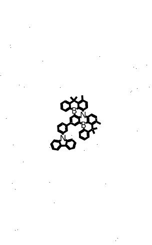 Cc1ccc2c3c1C(C)(C)c1ccccc1B3c1cc(-c3cccc(-n4c5ccccc5c5ccccc54)c3)cc3c1N2c1ccc(C)c2c1B3c1ccccc1C2(C)C